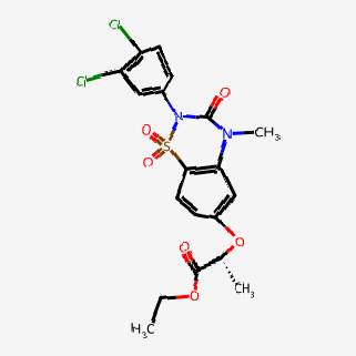 CCOC(=O)[C@@H](C)Oc1ccc2c(c1)N(C)C(=O)N(c1ccc(Cl)c(Cl)c1)S2(=O)=O